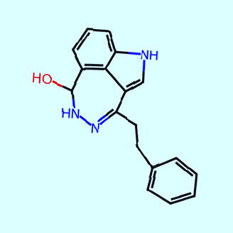 OC1NN=C(CCc2ccccc2)c2c[nH]c3cccc1c23